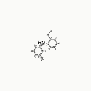 CCc1ccccc1Nc1cccc(F)c1